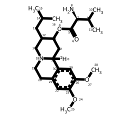 [2H]C12CC(OC(=O)[C@@H](N)C(C)C)C(CC(C)C)CN1CCc1cc(OC)c(OC)cc12